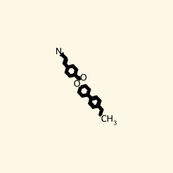 CCCc1ccc(C2CCC(OC(=O)C3CCC(C=CC#N)CC3)CC2)cc1